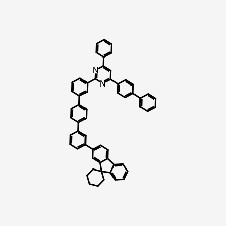 c1ccc(-c2ccc(-c3cc(-c4ccccc4)nc(-c4cccc(-c5ccc(-c6cccc(-c7ccc8c(c7)C7(CCCCC7)c7ccccc7-8)c6)cc5)c4)n3)cc2)cc1